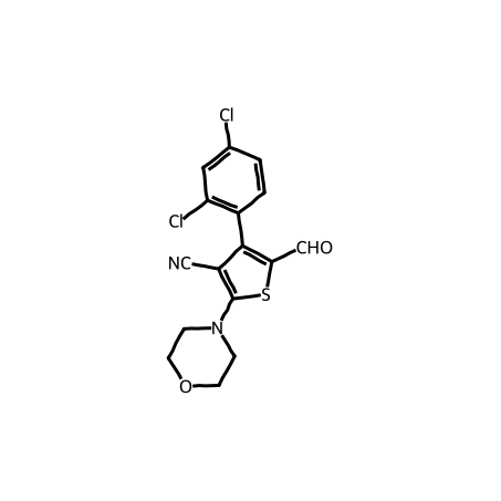 N#Cc1c(N2CCOCC2)sc(C=O)c1-c1ccc(Cl)cc1Cl